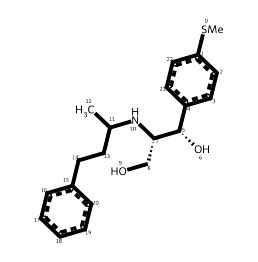 CSc1ccc([C@H](O)[C@H](CO)NC(C)CCc2ccccc2)cc1